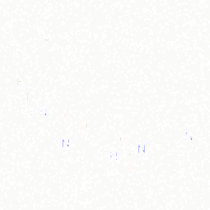 N#CC1CN(S(=O)(=O)N2CCC[C@H](C(=O)N3CCC[C@@H]3C(=O)NC(F)(F)c3ccc(F)c(F)c3F)C2)C1